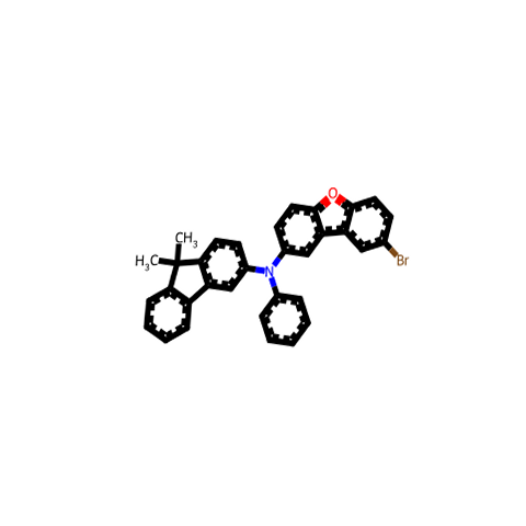 CC1(C)c2ccccc2-c2cc(N(c3ccccc3)c3ccc4oc5ccc(Br)cc5c4c3)ccc21